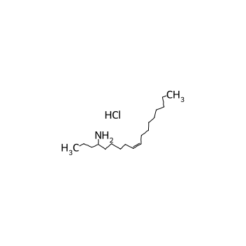 CCCCCCCC/C=C\CCCCC(N)CCC.Cl